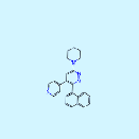 c1ccc2c(-c3nnc(N4CCCCC4)cc3-c3ccncc3)cccc2c1